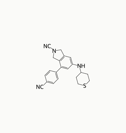 N#Cc1ccc(-c2cc(NC3CCSCC3)cc3c2CN(C#N)C3)cc1